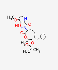 COc1ccnc(C(=O)N[C@H]2CCC[C@H](CC3CCCC3)[C@@H](OC(=O)C(C)C)[C@H](C)OC2=O)c1O